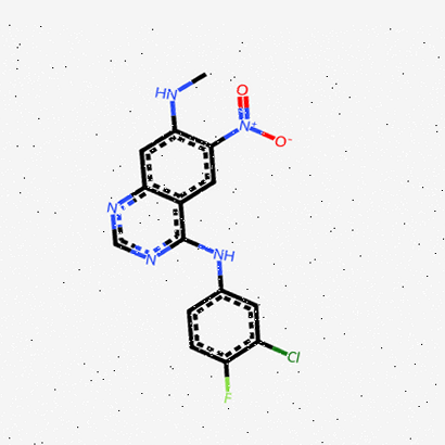 CNc1cc2ncnc(Nc3ccc(F)c(Cl)c3)c2cc1[N+](=O)[O-]